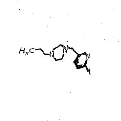 CCCN1CCN(Cc2ccc(I)nc2)CC1